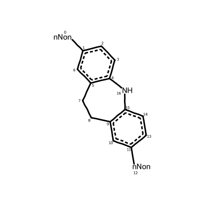 CCCCCCCCCc1ccc2c(c1)CCc1cc(CCCCCCCCC)ccc1N2